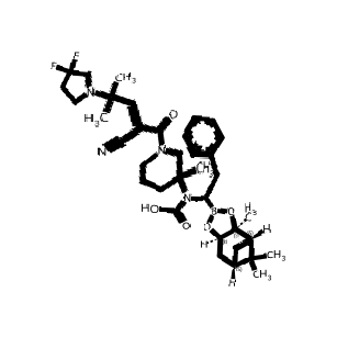 CC1(C)[C@@H]2C[C@H]3OB(C(Cc4ccccc4)N(C(=O)O)C4(C)CCCN(C(=O)C(C#N)=CC(C)(C)N5CCC(F)(F)C5)C4)O[C@@]3(C)[C@H]1C2